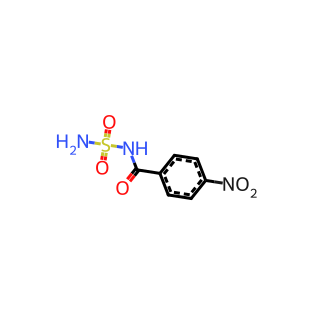 NS(=O)(=O)NC(=O)c1ccc([N+](=O)[O-])cc1